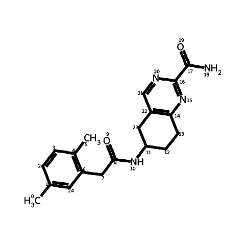 Cc1ccc(C)c(CC(=O)NC2CCc3nc(C(N)=O)ncc3C2)c1